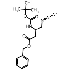 CC(C)(C)OC(=O)N[C@@H](CN=[N+]=[N-])CC(=O)OCc1ccccc1